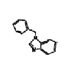 [c]1ccc2ncn(Cc3ccccc3)c2c1